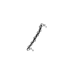 CCCOCCOCCOCCOCCOCCOCCOCCOCCOCCC